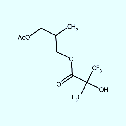 CC(=O)OCC(C)COC(=O)C(O)(C(F)(F)F)C(F)(F)F